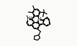 Cc1cc(C(C)(C)C)c2c(c1C)c1c3c(cc[n+]1C)cc(CC1CCCC1)c1c4ccccc4n2c13